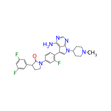 CN1CCC(n2cc(-c3ccc(N4CCC(c5cc(F)cc(F)c5)C4=O)cc3F)c3c(N)ncnc32)CC1